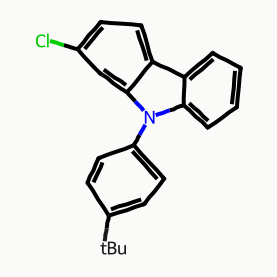 CC(C)(C)c1ccc(-n2c3ccccc3c3ccc(Cl)cc32)cc1